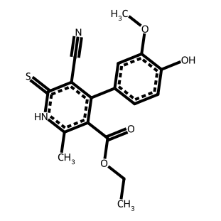 CCOC(=O)c1c(C)[nH]c(=S)c(C#N)c1-c1ccc(O)c(OC)c1